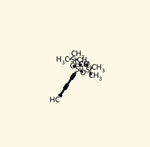 C#CC#CC#C[Si](C)(O[Si](C)(C)C)O[Si](C)(C)C